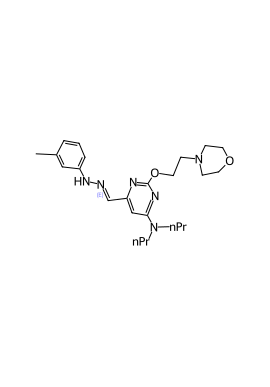 CCCN(CCC)c1cc(/C=N/Nc2cccc(C)c2)nc(OCCN2CCOCC2)n1